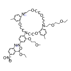 CCOCCOCCN1CCOCCOC/C=N/c2ccc(C)cc2OCCN(c2ccc(/N=N/c3ccc([N+](=O)[O-])cc3C(=O)OCC)cc2OCCOC)CCOc2cc(C)ccc21